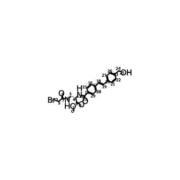 COC(=O)[C@H](CNC(=O)CBr)NC(=O)c1ccc(/C=C/c2ccc(CO)cc2)cc1